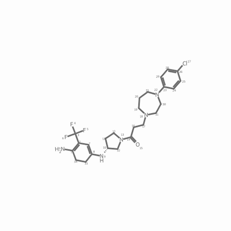 NC1=C(C(F)(F)F)C=C(N[C@@H]2CCN(C(=O)CCN3CCCN(c4ccc(Cl)cc4)CC3)C2)CC1